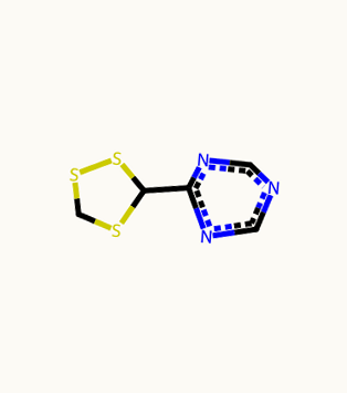 c1ncnc(C2SCSS2)n1